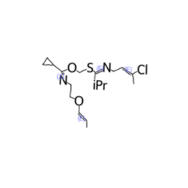 C/C=C/OCC/N=C(\OCS/C(=N/C/C=C(\C)Cl)C(C)C)C1CC1